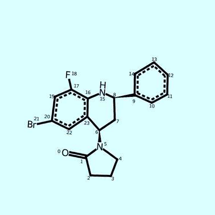 O=C1CCCN1[C@@H]1C[C@H](c2ccccc2)Nc2c(F)cc(Br)cc21